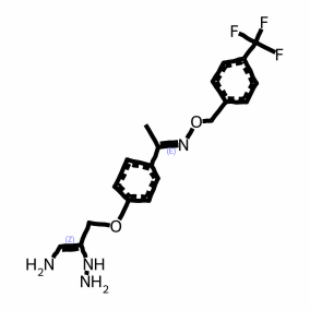 C/C(=N\OCc1ccc(C(F)(F)F)cc1)c1ccc(OC/C(=C/N)NN)cc1